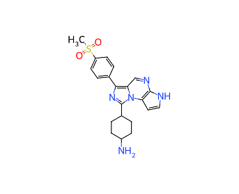 CS(=O)(=O)c1ccc(-c2nc(C3CCC(N)CC3)n3c2cnc2[nH]ccc23)cc1